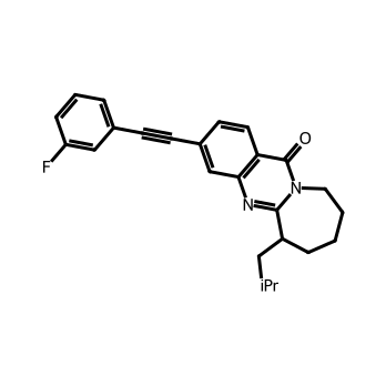 CC(C)CC1CCCCn2c1nc1cc(C#Cc3cccc(F)c3)ccc1c2=O